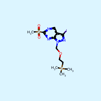 CS(C)(C)CCOCn1nc(I)c2cnc(S(C)(=O)=O)nc21